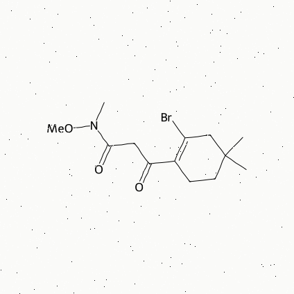 CON(C)C(=O)CC(=O)C1=C(Br)CC(C)(C)CC1